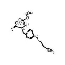 BCCCOc1ccc(C[C@H](NC(=O)OC(C)(C)C)C(=O)OC)cc1